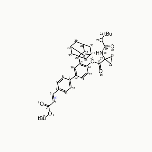 CC(C)(C)OC(=O)/C=C/c1ccc(-c2ccc(OC(=O)C3(NC(=O)OC(C)(C)C)CC3)c(C34CC5CC(CC(C5)C3)C4)c2)cc1